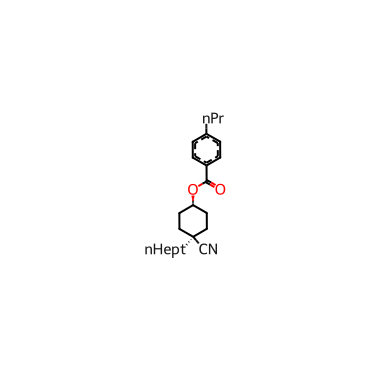 CCCCCCC[C@]1(C#N)CC[C@@H](OC(=O)c2ccc(CCC)cc2)CC1